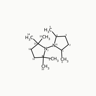 CC1CCC(C)N1N1C(C)(C)CCC1(C)C